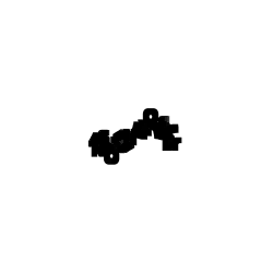 Cc1sc(C(=O)N2CC(N3CCN(C(=O)c4nccs4)CC3)C2)cc1Br